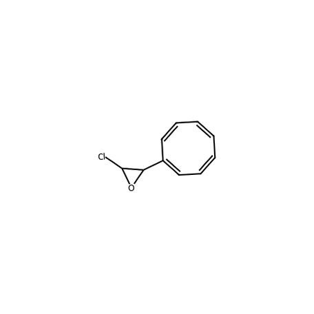 ClC1OC1C1=C/C=C\C=C/C=C\1